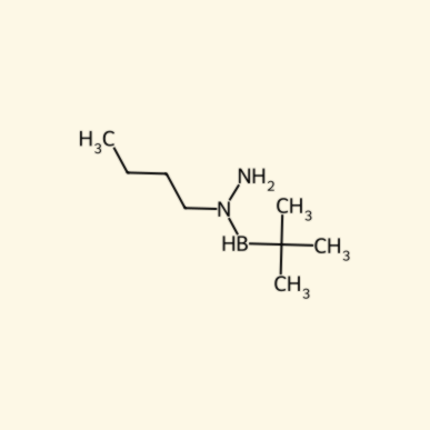 CCCCN(N)BC(C)(C)C